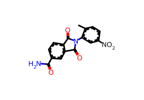 Cc1ccc([N+](=O)[O-])cc1N1C(=O)c2ccc(C(N)=O)cc2C1=O